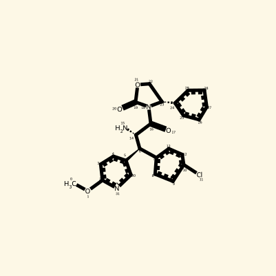 COc1ccc([C@H](c2ccc(Cl)cc2)[C@H](N)C(=O)N2C(=O)OC[C@@H]2c2ccccc2)cn1